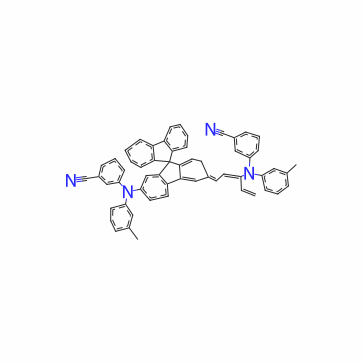 C=C/C(=C\C=C1\C=C2C(=CC1)C1(c3cc(N(c4cccc(C)c4)c4cccc(C#N)c4)ccc32)c2ccccc2-c2ccccc21)N(c1cccc(C)c1)c1cccc(C#N)c1